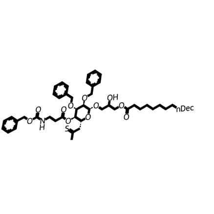 CCCCCCCCCCCCCCCCCC(=O)OCC(O)CO[C@@H]1O[C@H](CC(C)=S)[C@@H](OC(=O)CCNC(=O)OCc2ccccc2)[C@H](OCc2ccccc2)[C@H]1OCc1ccccc1